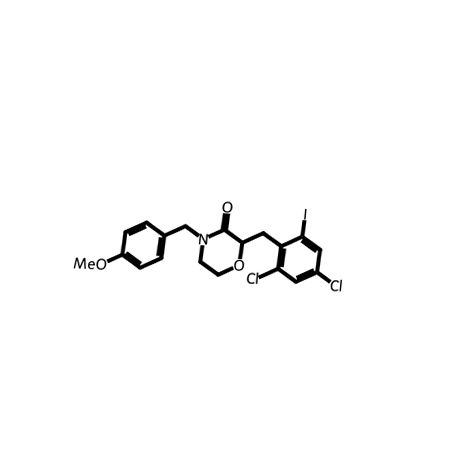 COc1ccc(CN2CCOC(Cc3c(Cl)cc(Cl)cc3I)C2=O)cc1